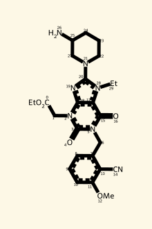 CCOC(=O)Cn1c(=O)n(Cc2cccc(OC)c2C#N)c(=O)c2c1nc(N1CCCC(N)C1)n2CC